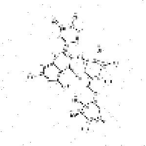 C[C@@H]1C[C@@H](OC[C@H]2O[C@@H](Oc3c(-c4ccc(O)c(O)c4)oc4cc(O)cc(O)c4c3=O)[C@H](O)[C@@H](O)[C@@H]2O)[C@H](O)[C@H](O)[C@H]1O